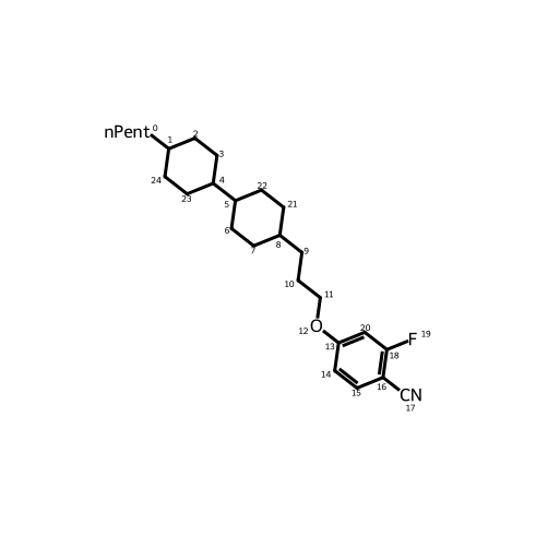 CCCCCC1CCC(C2CCC(CCCOc3ccc(C#N)c(F)c3)CC2)CC1